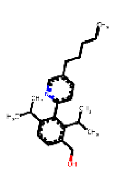 CCCCCc1ccc(-c2c(C(C)C)ccc(CO)c2C(C)C)nc1